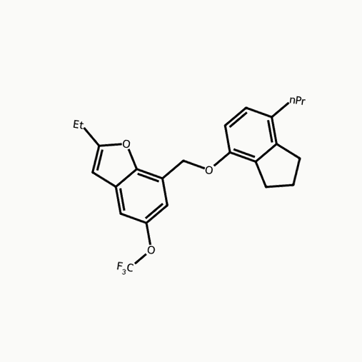 CCCc1ccc(OCc2cc(OC(F)(F)F)cc3cc(CC)oc23)c2c1CCC2